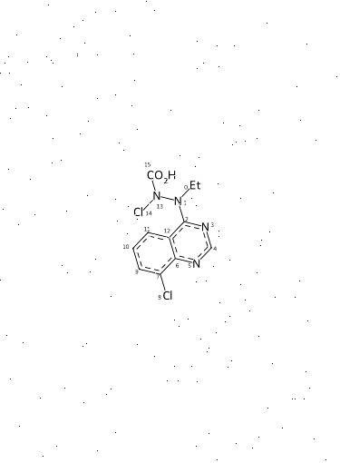 CCN(c1ncnc2c(Cl)cccc12)N(Cl)C(=O)O